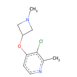 Cc1nccc(OC2CN(C)C2)c1Cl